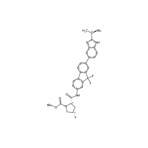 CCCC[C@H](C)c1nc2cc(-c3ccc4c(c3)C(F)(F)c3cc(NC(=O)[C@@H]5C[C@H](F)CN5C(=O)OC(C)(C)C)ccc3-4)ccc2[nH]1